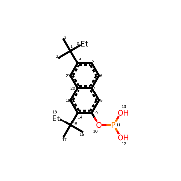 CCC(C)(C)c1ccc2cc(OP(O)O)c(C(C)(C)CC)cc2c1